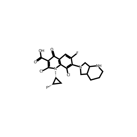 O=C(O)c1c(Cl)n([C@@H]2C[C@@H]2F)c2c(Cl)c(N3CC4CCCNC4C3)c(F)cc2c1=O